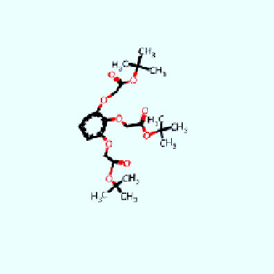 CC(C)(C)OC(=O)COc1cccc(OCC(=O)OC(C)(C)C)c1OCC(=O)OC(C)(C)C